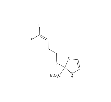 CCOC(=O)C1(SCCC=C(F)F)NC=CS1